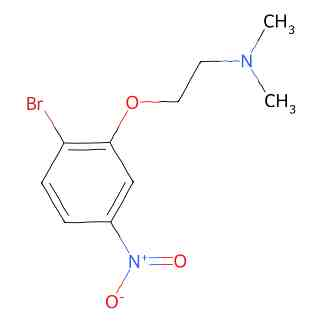 CN(C)CCOc1cc([N+](=O)[O-])ccc1Br